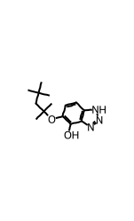 CC(C)(C)CC(C)(C)Oc1ccc2[nH]nnc2c1O